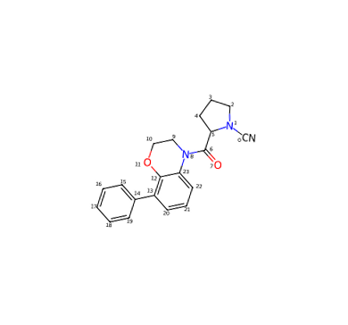 N#CN1CCCC1C(=O)N1CCOc2c(-c3ccccc3)cccc21